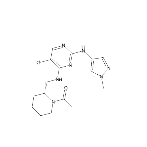 CC(=O)N1CCCC[C@@H]1CNc1nc(Nc2cnn(C)c2)ncc1Cl